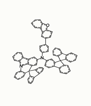 c1ccc2c(c1)-c1ccccc1C21c2ccccc2-c2ccc(N(c3ccc(-c4ccc5oc6ccccc6c5c4)cc3)c3cc4c5c(c3)c3ccccc3n5-c3ccccc3C43c4ccccc4-c4ccccc43)cc21